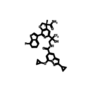 C[C@]1(C(N)=O)COc2c1cc(C(O)(CNC(=O)c1cc(OC3CC3)n3nc(C4CC4)cc3c1)C(F)(F)F)nc2-c1csc2c(F)cccc12